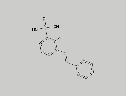 Cc1c(/C=C/c2ccccc2)cccc1P(=O)(O)O